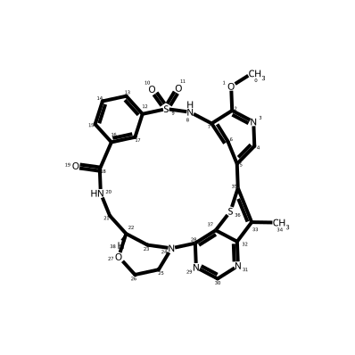 COc1ncc2cc1NS(=O)(=O)c1cccc(c1)C(=O)NC[C@@H]1CN(CCO1)c1ncnc3c(C)c-2sc13